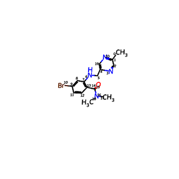 Cc1cnc(CNc2cc(Br)ccc2C(=O)N(C)C)cn1